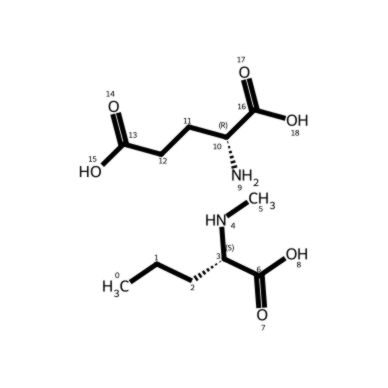 CCC[C@H](NC)C(=O)O.N[C@H](CCC(=O)O)C(=O)O